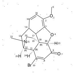 COC1=C2O[C@H]3C(=O)C=C(Br)[C@H]4[C@H]5CC(C=C1)C2[C@@]34CCN5C